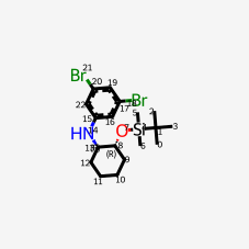 CC(C)(C)[Si](C)(C)O[C@@H]1CCCC[C@H]1Nc1cc(Br)cc(Br)c1